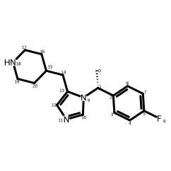 C[C@H](c1ccc(F)cc1)n1cncc1CC1CCNCC1